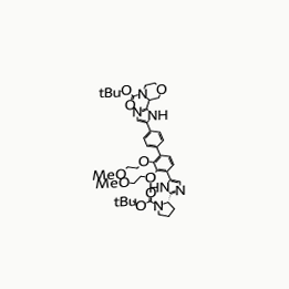 COCCOc1c(-c2ccc(-c3cnc(C4COCCN4C(=O)OC(C)(C)C)[nH]3)cc2)ccc(-c2cnc([C@@H]3CCCN3C(=O)OC(C)(C)C)[nH]2)c1OCCOC